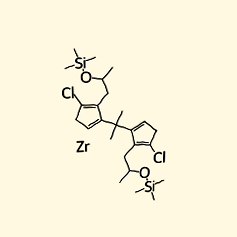 CC(CC1=C(Cl)CC=C1C(C)(C)C1=CCC(Cl)=C1CC(C)O[Si](C)(C)C)O[Si](C)(C)C.[Zr]